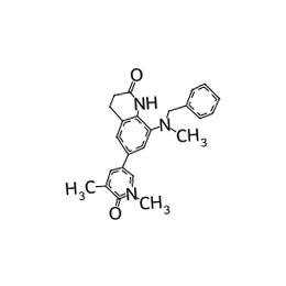 Cc1cc(-c2cc3c(c(N(C)Cc4ccccc4)c2)NC(=O)CC3)cn(C)c1=O